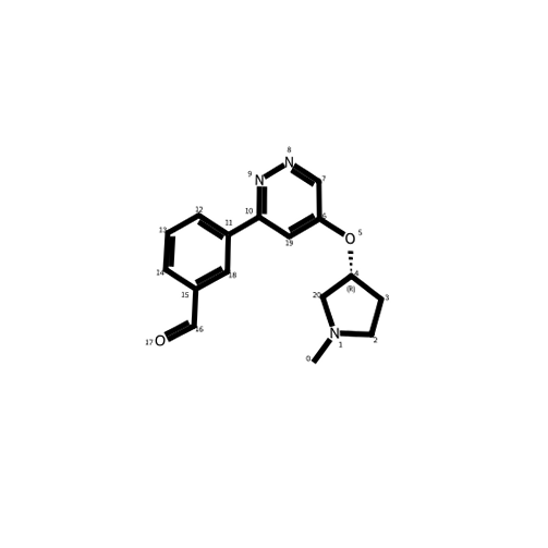 CN1CC[C@@H](Oc2cnnc(-c3cccc(C=O)c3)c2)C1